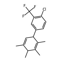 CC1=CC(c2ccc(Cl)c(C(F)(F)F)c2)C(C)=C(C)C1C